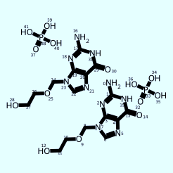 Nc1nc2c(ncn2COCCO)c(=O)[nH]1.Nc1nc2c(ncn2COCCO)c(=O)[nH]1.O=P(O)(O)O.O=P(O)(O)O